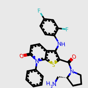 NC[C@H]1CCCN1C(=O)c1sc2c(ccc(=O)n2-c2ccccc2)c1Nc1ccc(F)cc1F